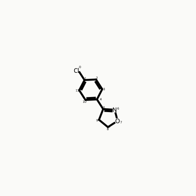 Clc1ccc(C2=NO[CH]C2)cc1